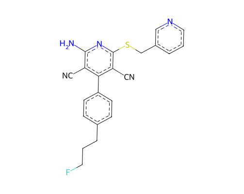 N#Cc1c(N)nc(SCc2cccnc2)c(C#N)c1-c1ccc(CCCF)cc1